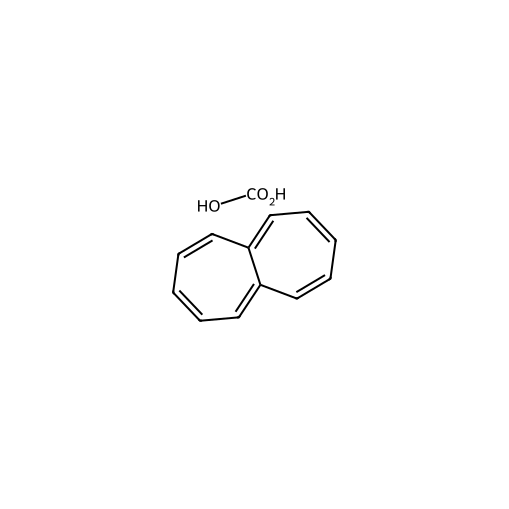 C1=CC=C2C=CC=CC=C2C=C1.O=C(O)O